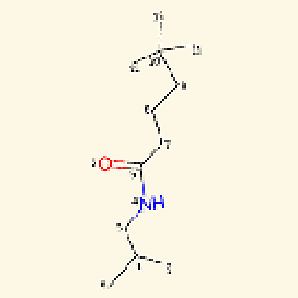 CC(C)CNC(=O)CCCC(C)(C)C